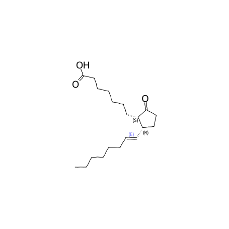 CCCCCC/C=C/[C@H]1CCC(=O)[C@H]1CCCCCCC(=O)O